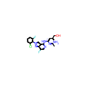 C=C(/C=C(\N=C(\C)N)Nc1ncc(F)c2nn(-c3c(F)cccc3Cl)cc12)CO